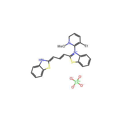 CCC1=C([n+]2c(C=CC=C3Nc4ccccc4S3)sc3ccccc32)N(OC)CC=C1.[O-][Cl+3]([O-])([O-])[O-]